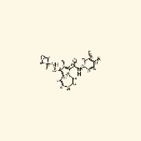 Cc1c(SNC2(C)COC2)c2n(c1C(=O)Nc1ccc(F)c(F)c1)CCCC=C2